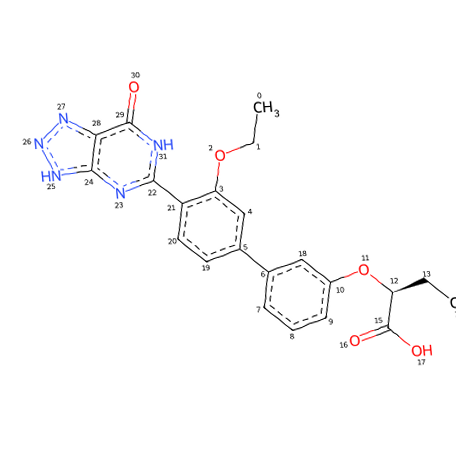 CCOc1cc(-c2cccc(O[C@@H](CC)C(=O)O)c2)ccc1-c1nc2[nH]nnc2c(=O)[nH]1